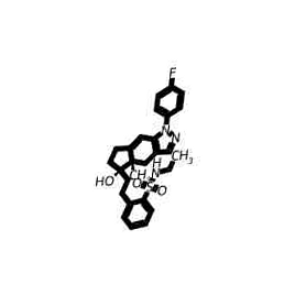 CCNS(=O)(=O)c1ccccc1CC[C@]1(O)CCC2=Cc3c(cnn3-c3ccc(F)cc3)C[C@@]21C